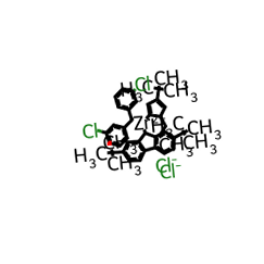 CCCC1C=C(C(C)(C)C)C=[C]1[Zr+2](=[C](c1cccc(Cl)c1)c1cccc(Cl)c1)[CH]1c2cc(C(C)(C)C)ccc2-c2ccc(C(C)(C)C)cc21.[Cl-].[Cl-]